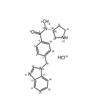 CN(C(=O)c1ccc(Cn2cnc3ccccc32)cc1)[C@@H]1CCNC1.Cl